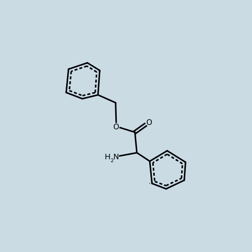 NC(C(=O)OCc1ccccc1)c1[c]cccc1